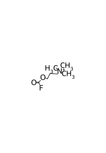 C[N+](C)(C)CCCOC(=O)F